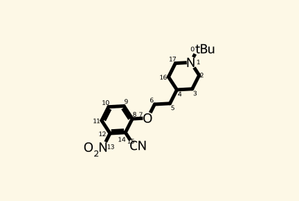 CC(C)(C)N1CCC(CCOc2cccc([N+](=O)[O-])c2C#N)CC1